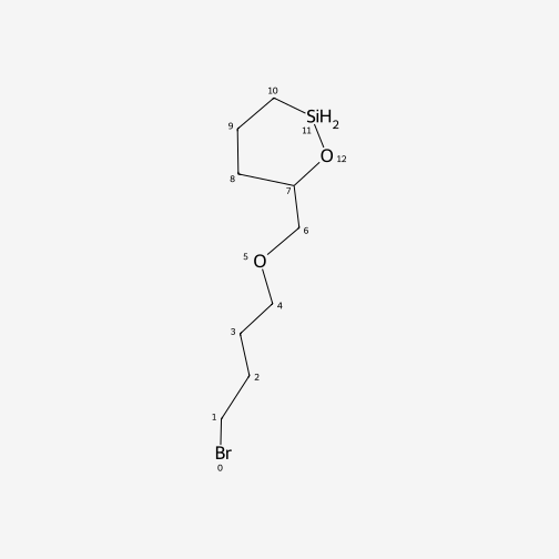 BrCCCCOCC1CCC[SiH2]O1